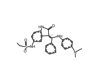 CCS(=O)(=O)Nc1ccc2c(c1)/C(=C(/Nc1ccc(N(C)C)cc1)c1ccccc1)C(=O)N2